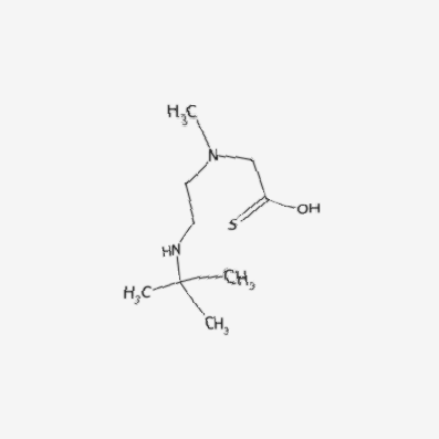 CN(CCNC(C)(C)C)CC(O)=S